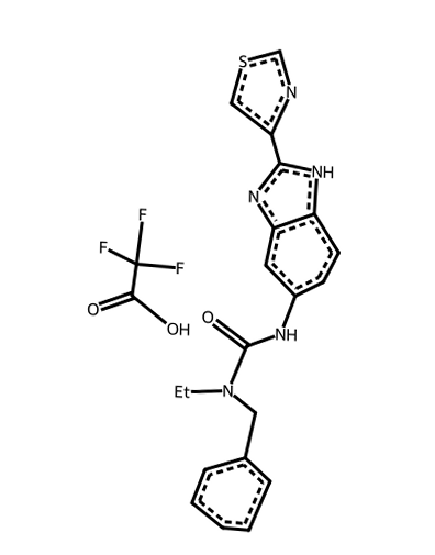 CCN(Cc1ccccc1)C(=O)Nc1ccc2[nH]c(-c3cscn3)nc2c1.O=C(O)C(F)(F)F